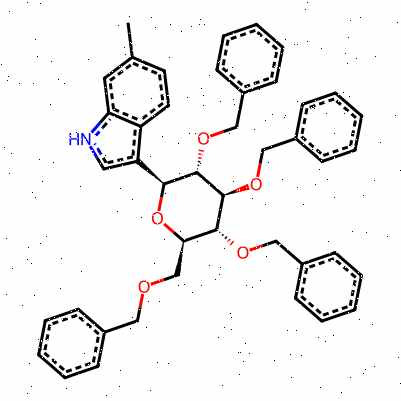 Cc1ccc2c([C@@H]3O[C@H](COCc4ccccc4)[C@@H](OCc4ccccc4)[C@H](OCc4ccccc4)[C@H]3OCc3ccccc3)c[nH]c2c1